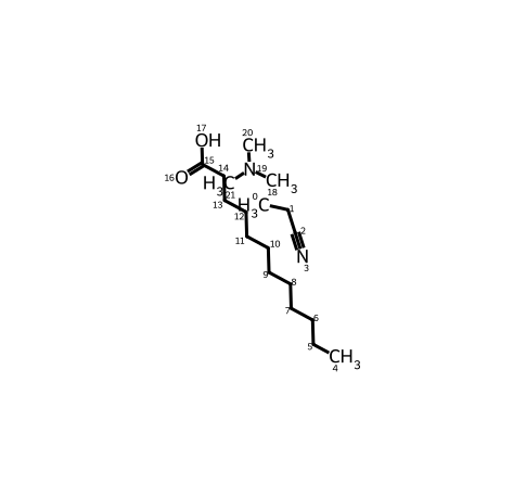 CCC#N.CCCCCCCCCCCC(=O)O.CN(C)C